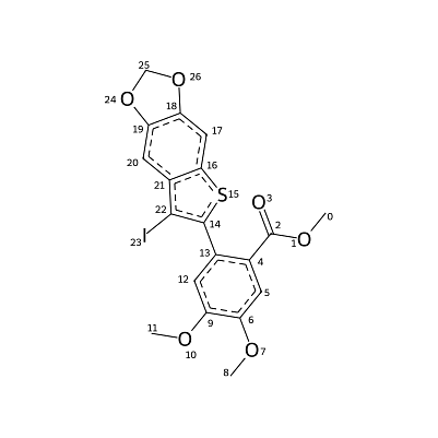 COC(=O)c1cc(OC)c(OC)cc1-c1sc2cc3c(cc2c1I)OCO3